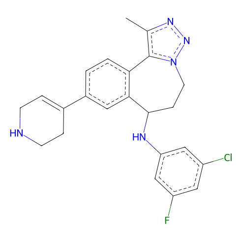 Cc1nnn2c1-c1ccc(C3=CCNCC3)cc1C(Nc1cc(F)cc(Cl)c1)CC2